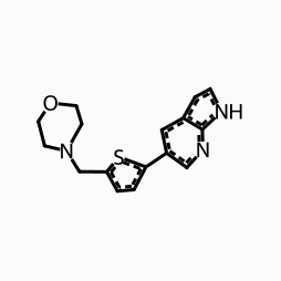 c1cc2cc(-c3ccc(CN4CCOCC4)s3)cnc2[nH]1